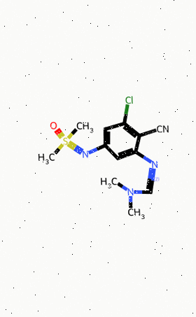 CN(C)/C=N\c1cc(N=S(C)(C)=O)cc(Cl)c1C#N